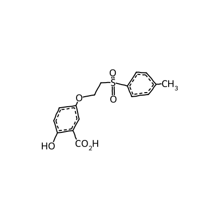 Cc1ccc(S(=O)(=O)CCOc2ccc(O)c(C(=O)O)c2)cc1